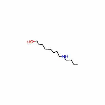 CCCCNCCCCCCCCO